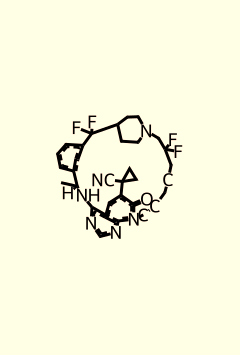 C[C@H]1Nc2ncnc3c2cc(C2(C#N)CC2)c(=O)n3CCCCCC(F)(F)CN2CCC(CC2)C(F)(F)c2cccc1c2